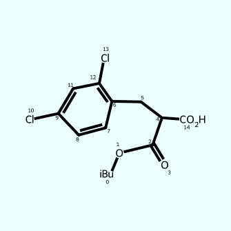 CCC(C)OC(=O)C(Cc1ccc(Cl)cc1Cl)C(=O)O